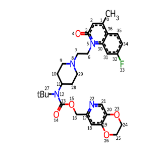 Cc1cc(=O)n(CCN2CCC(N(C(=O)OCc3cc4c(cn3)OCCO4)C(C)(C)C)CC2)c2cc(F)ccc12